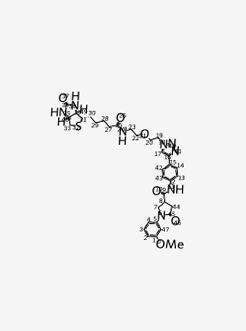 COc1cccc(N2CC(C(=O)Nc3ccc(-c4cn(CCOCCNC(=O)CCCC[C@@H]5SC[C@@H]6NC(=O)N[C@@H]65)nn4)cc3)CC2=O)c1